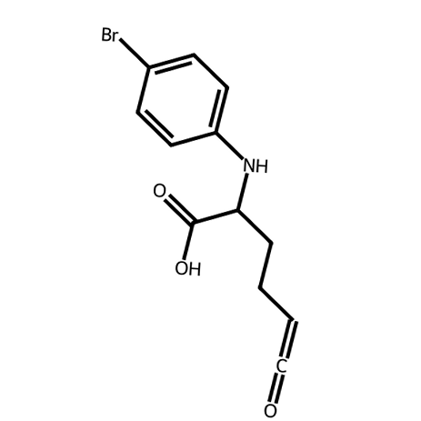 O=C=CCCC(Nc1ccc(Br)cc1)C(=O)O